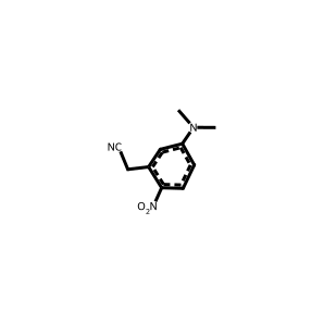 CN(C)c1ccc([N+](=O)[O-])c(CC#N)c1